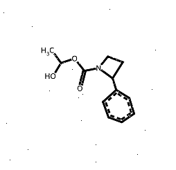 CC(O)OC(=O)N1CCC1c1ccccc1